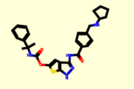 CC(C)(NC(=O)Oc1cc2c(NC(=O)c3ccc(CNC4CCCC4)cc3)n[nH]c2s1)c1ccccc1